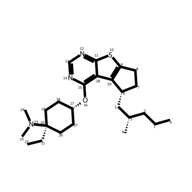 CCC[C@H](C)C[C@H]1CCc2sc3ncnc(O[C@H]4CC[C@](CC)(N(C)C)CC4)c3c21